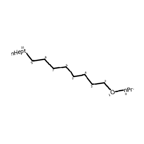 CC[CH]OCCCCCCCCCCCCCCC